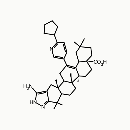 CC1(C)CC[C@]2(C(=O)O)CC[C@]3(C)C(=C(c4ccc(C5CCCC5)nc4)CC4[C@@]5(C)Cc6c(n[nH]c6N)C(C)(C)C5CC[C@]43C)C2C1